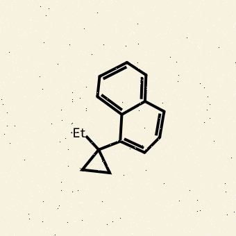 C[CH]C1(c2cccc3ccccc23)CC1